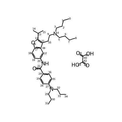 CCCCN(CCCC)CCc1c(C(C)C)oc2ccc(NC(=O)c3ccc(N(CCC)CCC)cc3)cc12.O=C(O)C(=O)O